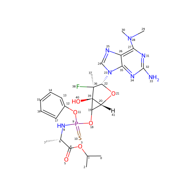 CC(C)OC(=O)[C@H](C)NP(=S)(Oc1ccccc1)OC1[C@H]2O[C@@H](n3cnc4c(N(C)C)nc(N)nc43)[C@](C)(F)[C@@]12O